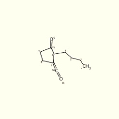 CCCCC1C(=O)CCC1=C=O